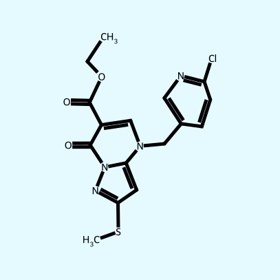 CCOC(=O)c1cn(Cc2ccc(Cl)nc2)c2cc(SC)nn2c1=O